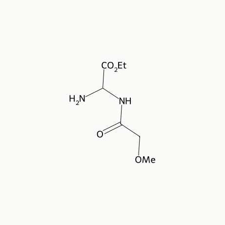 CCOC(=O)C(N)NC(=O)COC